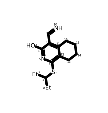 CCC(CC)Sc1nc(O)c(C=N)c2c1CCCC2